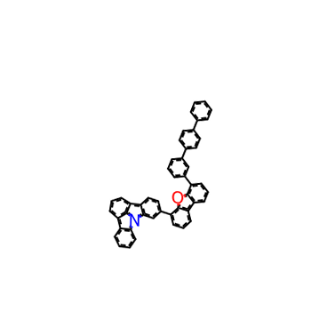 c1ccc(-c2ccc(-c3cccc(-c4cccc5c4oc4c(-c6ccc7c8cccc9c%10ccccc%10n(c7c6)c98)cccc45)c3)cc2)cc1